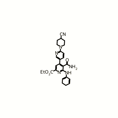 CCOC(=O)c1cc(-c2ccc(N3CCC(C#N)CC3)nc2)c(C(N)=O)c(NC2=CCCC=C2)n1